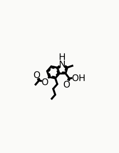 CCCCc1c(OC(C)=O)ccc2[nH]c(C)c(C(=O)O)c12